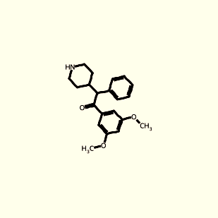 COc1cc(OC)cc(C(=O)C(c2ccccc2)C2CCNCC2)c1